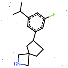 CC(C)c1cc(F)cc(C2CCC3(CNC3)C2)c1